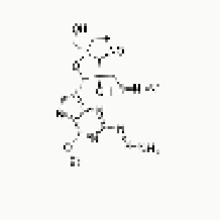 CCOc1nc(N=NN)nc2c1ncn2[C@@H]1O[C@@](CO)(CF)[C@@H](N=O)[C@]1(O)CN=[N+]=[N-]